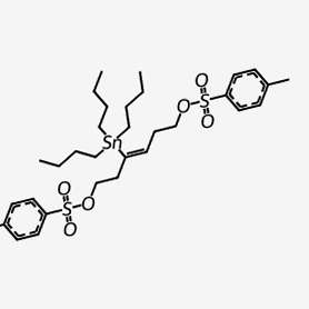 CCC[CH2][Sn]([CH2]CCC)([CH2]CCC)/[C](=C\CCOS(=O)(=O)c1ccc(C)cc1)CCOS(=O)(=O)c1ccc(C)cc1